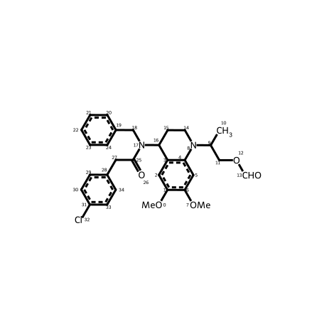 COc1cc2c(cc1OC)N(C(C)COC=O)CCC2N(Cc1ccccc1)C(=O)Cc1ccc(Cl)cc1